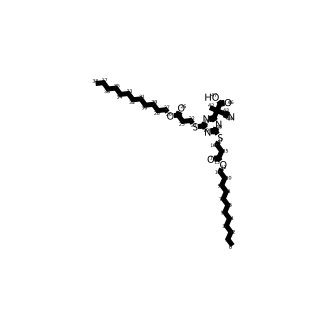 CCCCCCCCCCCCOC(=O)CCSc1nc(SCCC(=O)OCCCCCCCCCCCC)nc(C(C)(C#N)C(=O)O)n1